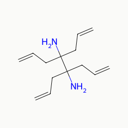 C=CCC(N)(CC=C)C(N)(CC=C)CC=C